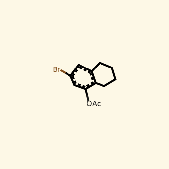 CC(=O)Oc1cc(Br)cc2c1CCCC2